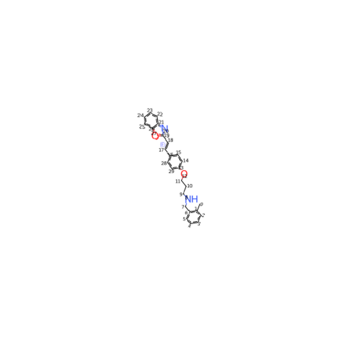 Cc1ccccc1CNCCCOc1ccc(/C=C/c2nc3ccccc3o2)cc1